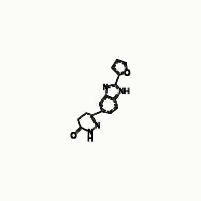 O=C1CCC(c2ccc3[nH]c(-c4ccco4)nc3c2)=NN1